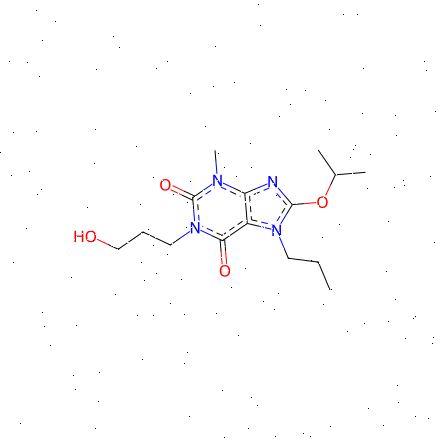 CCCn1c(OC(C)C)nc2c1c(=O)n(CCCO)c(=O)n2C